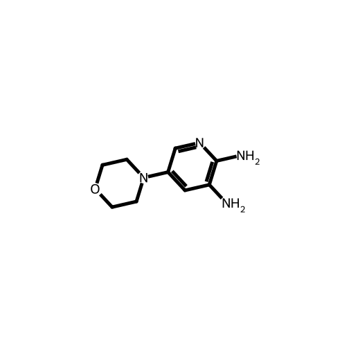 Nc1cc(N2CCOCC2)cnc1N